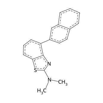 CN(C)c1nc2c(-c3ccc4ccccc4c3)cccc2s1